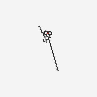 CCCCCCCCCCCCCCCCCCCC(c1nccn1CCCCCCCC)C(C)(Cc1ccccc1)c1ccccc1